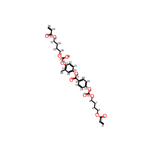 C=CC(=O)OCCCCOC(=O)Oc1ccc(C(=O)Oc2ccc(OC(=O)OCCCCOC(=O)C=C)c(C)c2)cc1